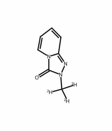 [2H]C([2H])([2H])n1nc2ccccn2c1=O